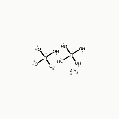 [AlH3].[OH][Ti]([OH])([OH])[OH].[OH][Ti]([OH])([OH])[OH]